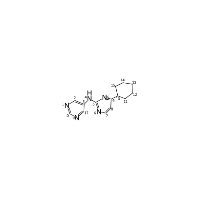 c1ncc(Nc2nccc(C3CCCCC3)n2)cn1